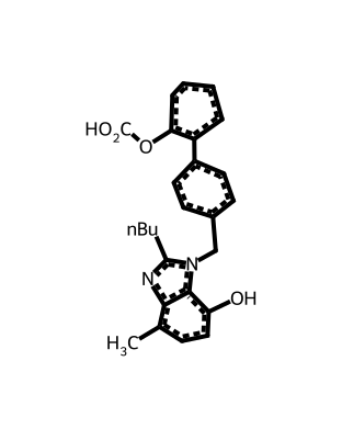 CCCCc1nc2c(C)ccc(O)c2n1Cc1ccc(-c2ccccc2OC(=O)O)cc1